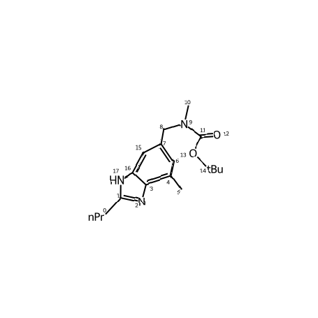 CCCc1nc2c(C)cc(CN(C)C(=O)OC(C)(C)C)cc2[nH]1